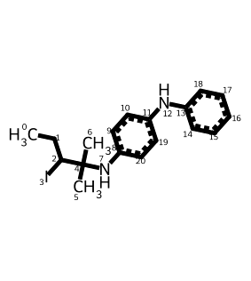 CCC(I)C(C)(C)Nc1ccc(Nc2ccccc2)cc1